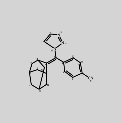 N#Cc1ccc(C(=C2C3CC4CC(C3)CC2C4)n2ccnn2)cc1